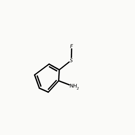 Nc1ccccc1SF